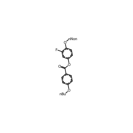 CCCCCCCCCOc1ccc(OC(=O)c2ccc(OCCCC)cc2)cc1F